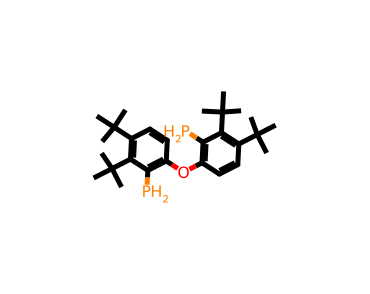 CC(C)(C)c1ccc(Oc2ccc(C(C)(C)C)c(C(C)(C)C)c2P)c(P)c1C(C)(C)C